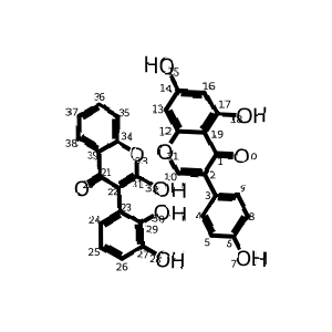 O=c1c(-c2ccc(O)cc2)coc2cc(O)cc(O)c12.O=c1c(-c2cccc(O)c2O)c(O)oc2ccccc12